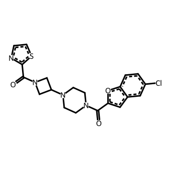 O=C(c1cc2cc(Cl)ccc2o1)N1CCN(C2CN(C(=O)c3nccs3)C2)CC1